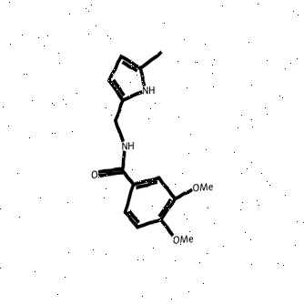 COc1ccc(C(=O)NCc2ccc(C)[nH]2)cc1OC